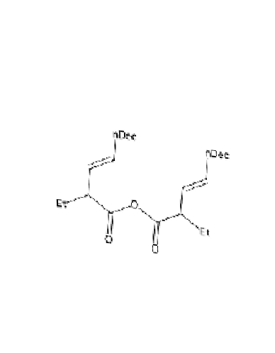 CCCCCCCCCCC=CC(CC)C(=O)OC(=O)C(C=CCCCCCCCCCC)CC